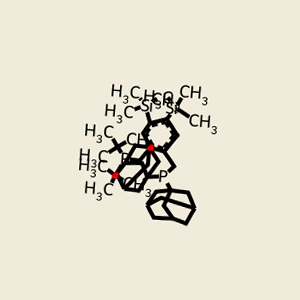 CC(C)(C)P(Cc1cc([Si](C)(C)C)c([Si](C)(C)C)cc1CP(C12CC3CC(CC(C3)C1)C2)C12CC3CC(CC(C3)C1)C2)C(C)(C)C